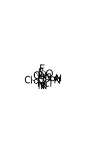 COc1cn(C(CC(F)F)C(=O)Nc2ccc3nn(C)cc3c2)c(=O)cc1-c1cc(Cl)ccc1-n1cc(Cl)nn1